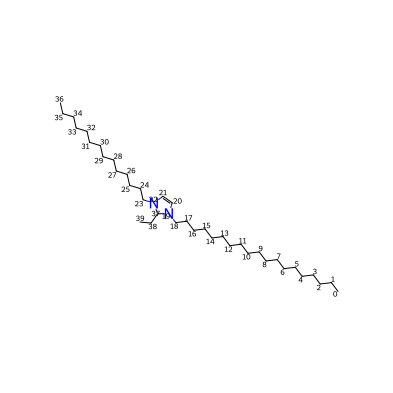 CCCCCCCCCCCCCCCCCCCN1C=CN(CCCCCCCCCCCCCC)C1CC